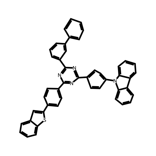 c1ccc(-c2cccc(-c3nc(-c4ccc(-c5cc6ccccc6s5)cc4)nc(-c4ccc(-n5c6ccccc6c6ccccc65)cc4)n3)c2)cc1